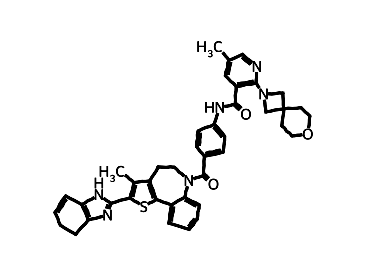 Cc1cnc(N2CC3(CCOCC3)C2)c(C(=O)Nc2ccc(C(=O)N3CCc4c(sc(-c5nc6c([nH]5)C=CCC6)c4C)-c4ccccc43)cc2)c1